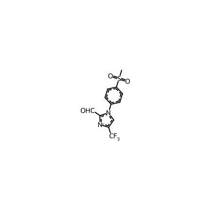 CS(=O)(=O)c1ccc(-n2cc(C(F)(F)F)nc2C=O)cc1